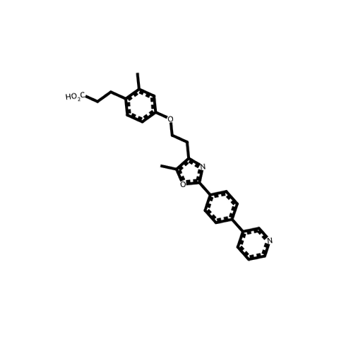 Cc1cc(OCCc2nc(-c3ccc(-c4cccnc4)cc3)oc2C)ccc1CCC(=O)O